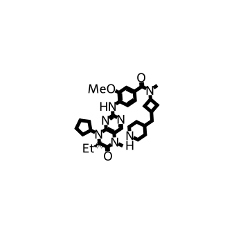 CC[C@@H]1C(=O)N(C)c2cnc(Nc3ccc(C(=O)N(C)C4CC(CC5CCNCC5)C4)cc3OC)nc2N1C1CCCC1